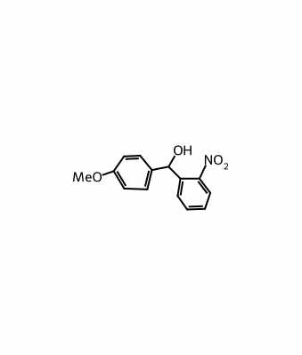 COc1ccc(C(O)c2ccccc2[N+](=O)[O-])cc1